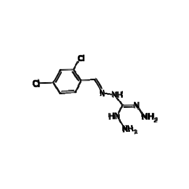 N/N=C(\NN)N/N=C/c1ccc(Cl)cc1Cl